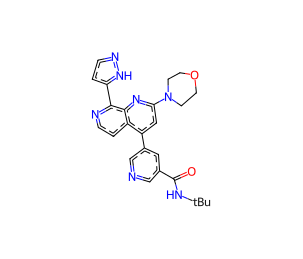 CC(C)(C)NC(=O)c1cncc(-c2cc(N3CCOCC3)nc3c(-c4ccn[nH]4)nccc23)c1